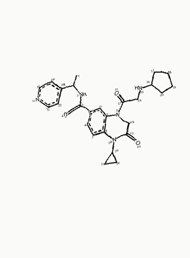 CC(NC(=O)c1ccc2c(c1)N(C(=O)CNC1CCCC1)CC(=O)N2C1CC1)c1ccncc1